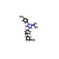 CC(C)c1ccc(NC(=O)N(CCN(C(C)C)C(C)C)[C@@H]2CC[C@]3(c4cccc(C#N)c4)CC3C2)cc1